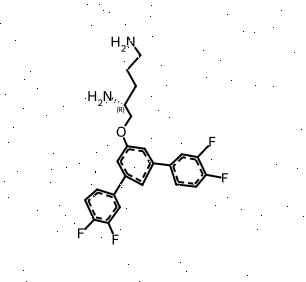 NCCC[C@@H](N)COc1cc(-c2ccc(F)c(F)c2)cc(-c2ccc(F)c(F)c2)c1